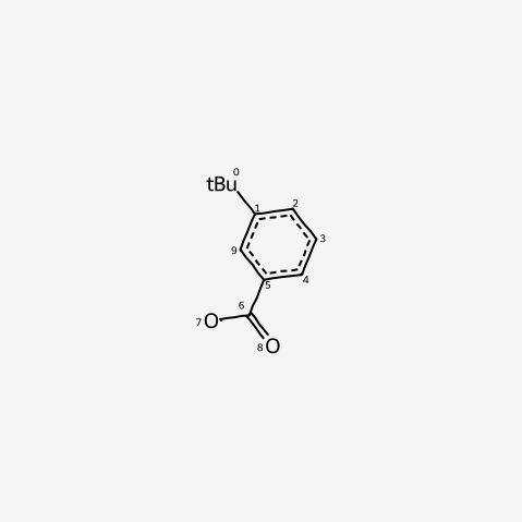 CC(C)(C)c1cccc(C([O])=O)c1